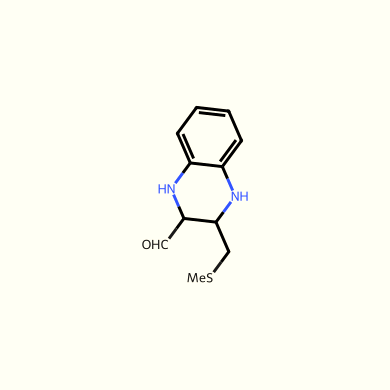 CSCC1Nc2ccccc2NC1C=O